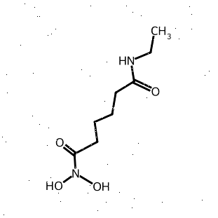 CCNC(=O)CCCCC(=O)N(O)O